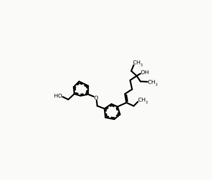 CCC(=CCCC(O)(CC)CC)c1cccc(COc2cccc(CO)c2)c1